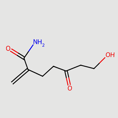 C=C(CCC(=O)CCO)C(N)=O